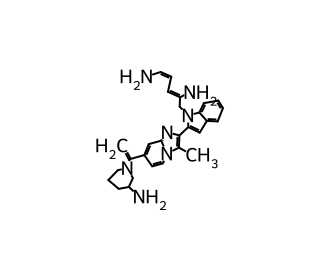 C=C(c1ccn2c(C)c(-c3cc4ccccc4n3C/C(N)=C/C=C\N)nc2c1)N1CCCC(N)C1